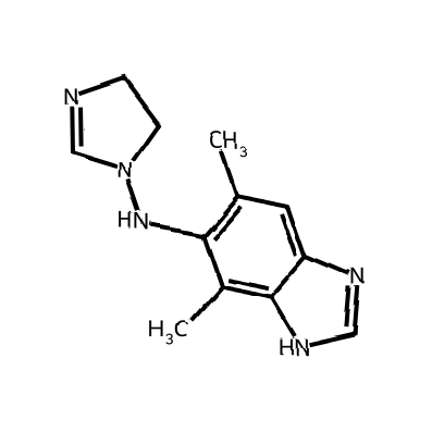 Cc1cc2nc[nH]c2c(C)c1NN1C=NCC1